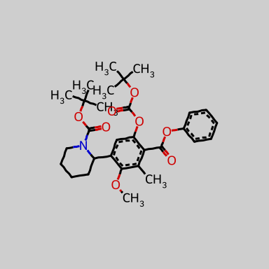 COc1c(C2CCCCN2C(=O)OC(C)(C)C)cc(OC(=O)OC(C)(C)C)c(C(=O)Oc2ccccc2)c1C